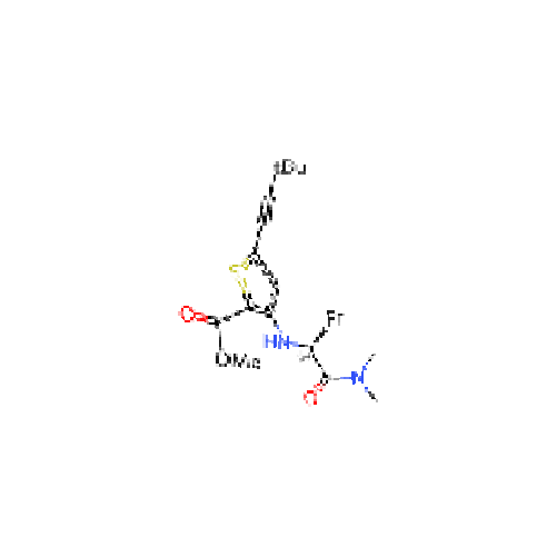 CC[C@H](Nc1cc(C#CC(C)(C)C)sc1C(=O)OC)C(=O)N(C)C